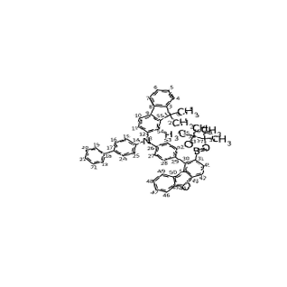 CC1(C)c2ccccc2-c2ccc(N(c3ccc(-c4ccccc4)cc3)c3ccc(-c4c(B5OC(C)(C)C(C)(C)O5)ccc5oc6ccccc6c45)cc3)cc21